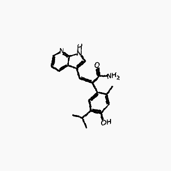 Cc1cc(O)c(C(C)C)cc1/C(=C/c1c[nH]c2ncccc12)C(N)=O